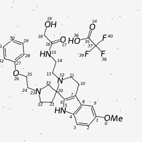 COc1ccc2[nH]c3c(c2c1)CCN(CCNC(=O)CO)C31CCN(CCOc2ccccc2)C1.O=C(O)C(F)(F)F